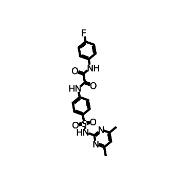 Cc1cc(C)nc(NS(=O)(=O)c2ccc(NC(=O)C(=O)Nc3ccc(F)cc3)cc2)n1